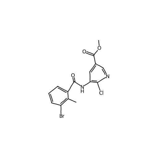 COC(=O)c1cnc(Cl)c(NC(=O)c2cccc(Br)c2C)c1